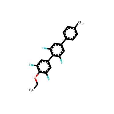 Cc1ccc(-c2cc(F)c(-c3cc(F)c(OCC(F)(F)F)c(F)c3)c(F)c2)cc1